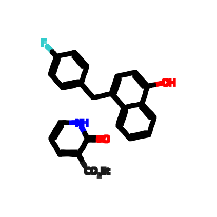 CCOC(=O)c1ccc[nH]c1=O.Oc1ccc(Cc2ccc(F)cc2)c2ccccc12